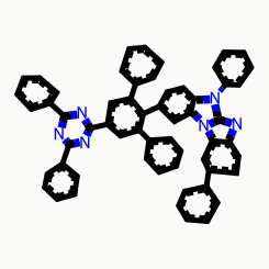 c1ccc(-c2ccc3nc4n(-c5ccccc5)c5ccc(-c6c(-c7ccccc7)cc(-c7nc(-c8ccccc8)nc(-c8ccccc8)n7)cc6-c6ccccc6)cc5n4c3c2)cc1